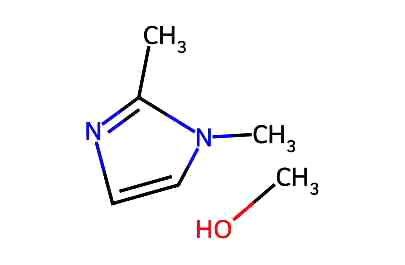 CO.Cc1nccn1C